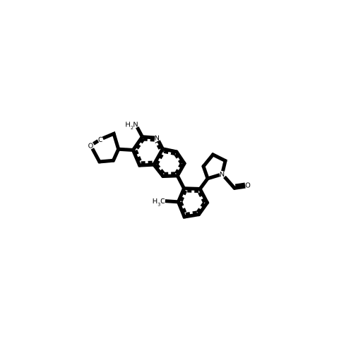 Cc1cccc(C2CCCN2C=O)c1-c1ccc2nc(N)c(C3CCOCC3)cc2c1